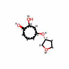 O=c1cccc(O[C@@H]2CCOC2)cc1O